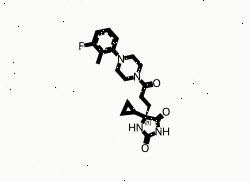 Cc1c(F)cccc1N1CCN(C(=O)CC[C@]2(C3CC3)NC(=O)NC2=O)CC1